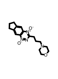 [O-][n+]1nc(CCCN2CCOCC2)[n+]([O-])c2cc3c(cc21)CCC3